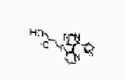 COC(CO)CCn1c2cccnc2c2c(-c3ccsc3)ncnc21